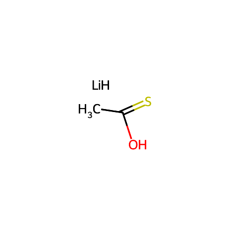 CC(O)=S.[LiH]